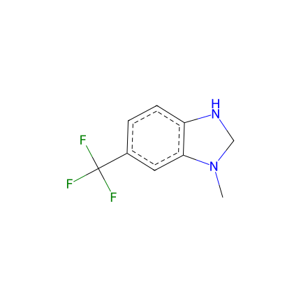 CN1CNc2ccc(C(F)(F)F)cc21